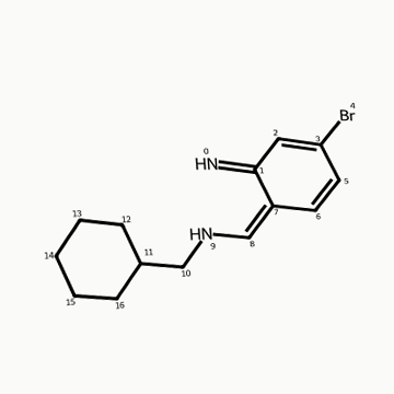 N=C1C=C(Br)C=C/C1=C/NCC1CCCCC1